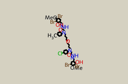 COc1c(Br)cc(/C=N/NC(=O)CN(CCCCOCCCCN(CC(=O)N/N=C/c2cc(Br)c(OC)c(Br)c2O)c2ccc(Cl)cc2)c2ccc(C)cc2)c(O)c1Br